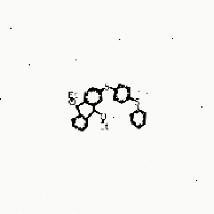 CCOC1c2ccccc2C(OCC)c2cc(Sc3ccc(Sc4ccccc4)cc3)ccc21